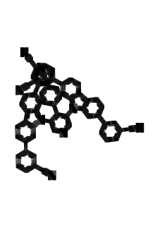 N#Cc1ccc(-c2c(-n3c4cc(-c5cccc(C#N)c5)ccc4c4ccc(-c5cccc(C#N)c5)cc43)cncc2-n2c3cc(-c4cccc(C#N)c4)ccc3c3ccc(-c4cccc(C#N)c4)cc32)cc1